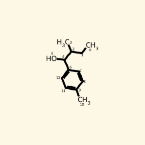 CCC(C)C(O)c1ccc(C)cc1